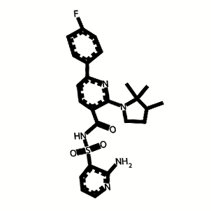 CC1CCN(c2nc(-c3ccc(F)cc3)ccc2C(=O)NS(=O)(=O)c2cccnc2N)C1(C)C